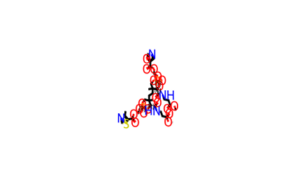 COC(=O)CCNC(=O)[C@@H]1O[P@@](=O)(OCOC(=O)c2cnco2)OCC1(C)CCC1(C)CO[P@@](=O)(OCOC(=O)c2scnc2C)O[C@H]1C(=O)NCCC(=O)OC